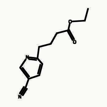 CCOC(=O)CCCc1ccc(C#N)cn1